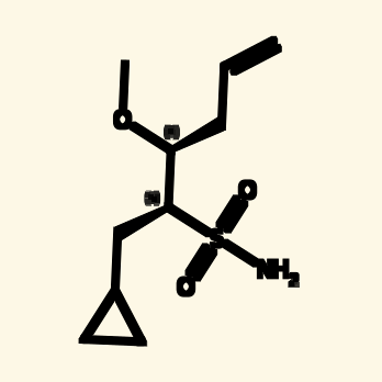 C=CC[C@H](OC)[C@H](CC1CC1)S(N)(=O)=O